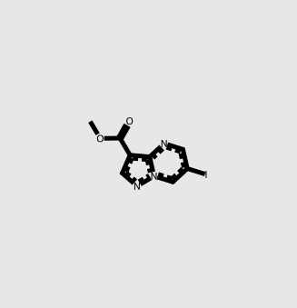 COC(=O)c1cnn2cc(I)cnc12